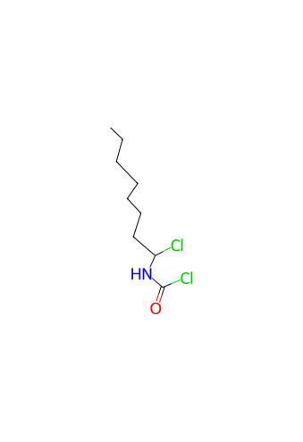 CCCCCCCC(Cl)NC(=O)Cl